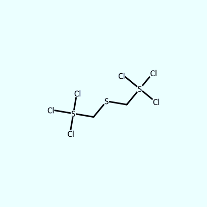 ClS(Cl)(Cl)CSCS(Cl)(Cl)Cl